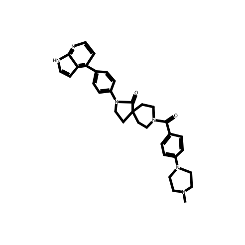 CN1CCN(c2ccc(C(=O)N3CCC4(CC3)CCN(c3ccc(-c5ccnc6[nH]ccc56)cc3)C4=O)cc2)CC1